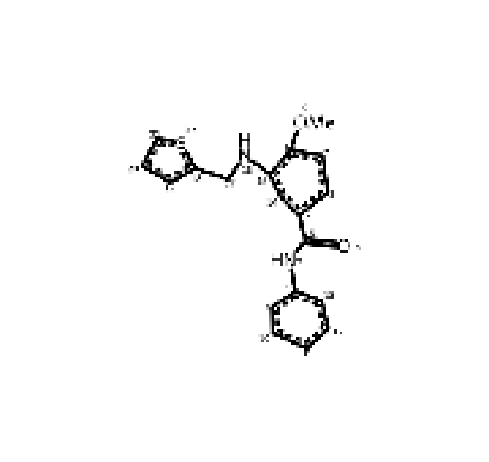 COc1ccc(C(=O)Nc2ccccc2)cc1NCc1cccs1